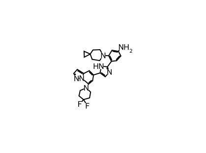 Nc1ccc(-c2ncc(-c3cc(N4CCC(F)(F)CC4)n4nccc4c3)[nH]2)c(N2CCC3(CC2)CC3)c1